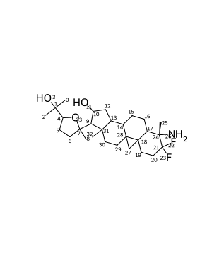 CC(C)(O)C1CCC(C)(C2C(O)CC3C4CCC5C6(CCC(F)(F)[C@@]5(C)N)CC46CCC32C)O1